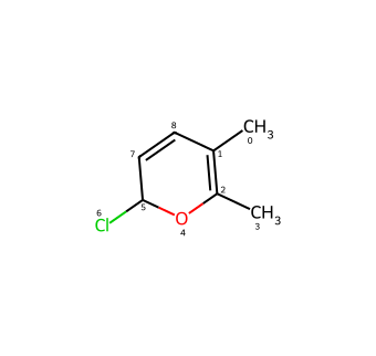 CC1=C(C)OC(Cl)C=C1